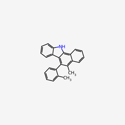 Cc1ccccc1-c1c(C)c2ccccc2c2[nH]c3ccccc3c12